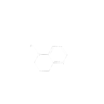 CC(C)N1CCCc2ncccc21